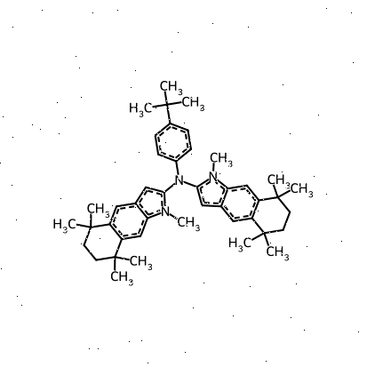 Cn1c(N(c2ccc(C(C)(C)C)cc2)c2cc3cc4c(cc3n2C)C(C)(C)CCC4(C)C)cc2cc3c(cc21)C(C)(C)CCC3(C)C